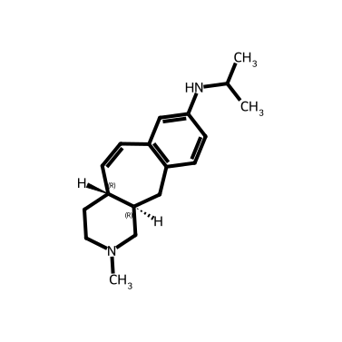 CC(C)Nc1ccc2c(c1)C=C[C@H]1CCN(C)C[C@@H]1C2